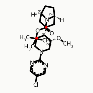 CO[C@@H]1CN(c2ncc(Cl)cn2)CC[C@@H]1C1C[C@H]2CC[C@@H](C1)N2C(=O)OC(C)(C)C